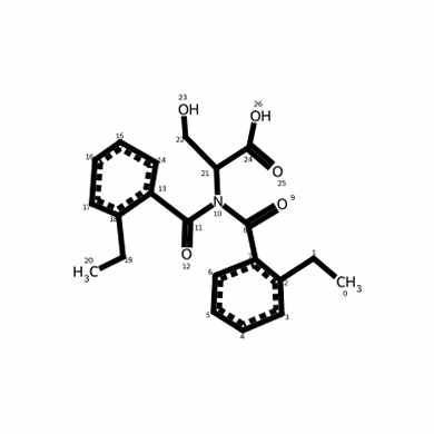 CCc1ccccc1C(=O)N(C(=O)c1ccccc1CC)C(CO)C(=O)O